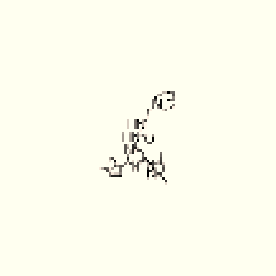 Cc1cc(C)n(-c2cc(NC(=O)NCCN3CCOCC3)nc(-c3ccc(C)o3)n2)n1